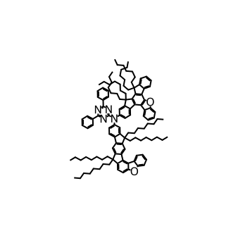 CCCCCCCCC1(CCCCCCCC)c2cc(N(c3ccc4c(c3)C(CCCCCCC)(CCCCCCC)c3c5c(c6oc7ccccc7c6c3-4)-c3ccccc3C5(CCCCCCC)CCCCCCC)c3nc(-c4ccccc4)nc(-c4ccccc4)n3)ccc2-c2cc3c(cc21)-c1c(ccc2oc4ccccc4c12)C3(CCCCCCCC)CCCCCCCC